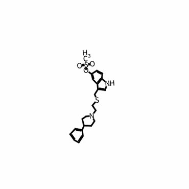 CS(=O)(=O)Oc1ccc2[nH]cc(CSCCN3CCC(c4ccccc4)CC3)c2c1